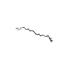 [CH2]CCCCCCCCCCN=[N+]=[N-]